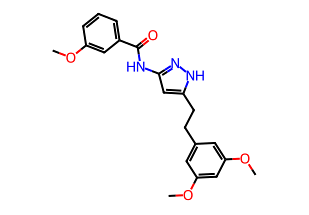 COc1cc(CCc2cc(NC(=O)c3cccc(OC)c3)n[nH]2)cc(OC)c1